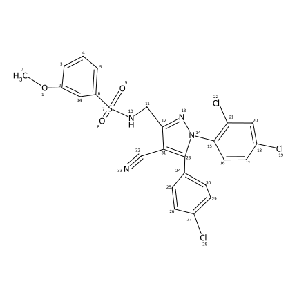 COc1cccc(S(=O)(=O)NCc2nn(-c3ccc(Cl)cc3Cl)c(-c3ccc(Cl)cc3)c2C#N)c1